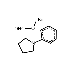 CC(C)(C)OC=O.c1ccc(N2CCCC2)cc1